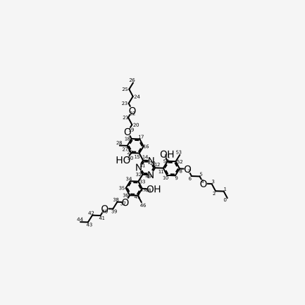 CCCCOCCOc1ccc(-c2nc(-c3ccc(OCCOCCCC)c(C)c3O)nc(-c3ccc(OCCOCCCC)c(C)c3O)n2)c(O)c1C